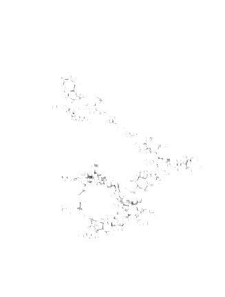 CNN(C)Cc1cc2ccccc2n1CCC(=O)NCCOCCOCCC(=O)N[C@H](C(=O)N[C@@H](CCCNC(N)=O)C(=O)Nc1ccc(COC(=O)N(C)[C@@H](C)C(=O)O[C@H]2CC(=O)N(C)c3cc(cc(OC)c3Cl)C/C(C)=C/C=C/[C@@H](OC)[C@@]3(O)C[C@H](OC(=O)N3)[C@@H](C)[C@@H]3O[C@]23C)cc1)C(C)C